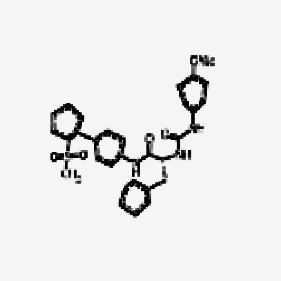 COc1ccc(NC(=O)N[C@H](Cc2ccccc2)C(=O)Nc2ccc(-c3ccccc3S(C)(=O)=O)cc2)cc1